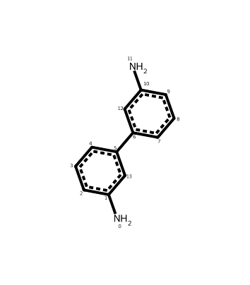 Nc1cccc(-c2cccc(N)c2)c1